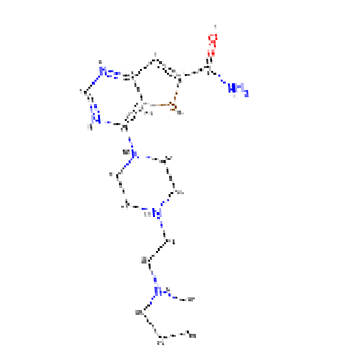 NC(=O)c1cc2ncnc(N3CCN(CCN4CCCC4)CC3)c2s1